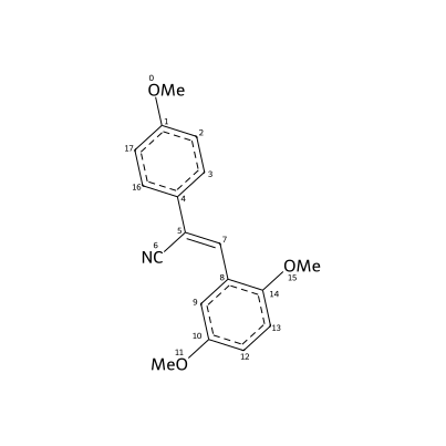 COc1ccc(C(C#N)=Cc2cc(OC)ccc2OC)cc1